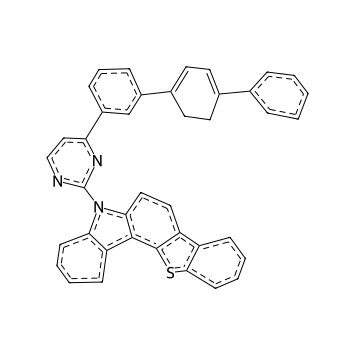 C1=C(c2ccccc2)CCC(c2cccc(-c3ccnc(-n4c5ccccc5c5c6sc7ccccc7c6ccc54)n3)c2)=C1